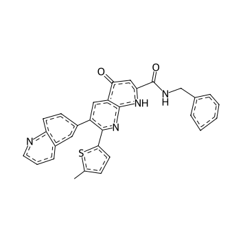 Cc1ccc(-c2nc3[nH]c(C(=O)NCc4ccccc4)cc(=O)c3cc2-c2ccc3ncccc3c2)s1